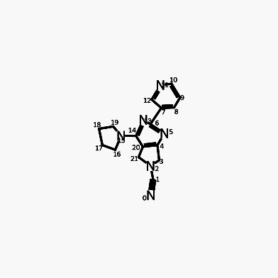 N#CN1Cc2nc(-c3cccnc3)nc(N3CCCC3)c2C1